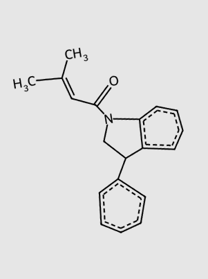 CC(C)=CC(=O)N1CC(c2ccccc2)c2ccccc21